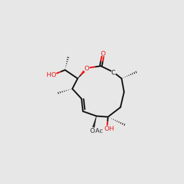 CC(=O)O[C@H]1/C=C/[C@H](C)[C@@H]([C@@H](C)O)OC(=O)C[C@H](C)CC[C@@]1(C)O